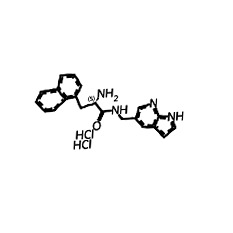 Cl.Cl.N[C@@H](Cc1cccc2ccccc12)C(=O)NCc1cnc2[nH]ccc2c1